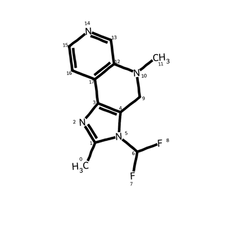 Cc1nc2c(n1C(F)F)CN(C)c1cnccc1-2